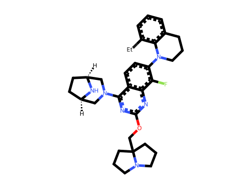 CCc1cccc2c1N(c1ccc3c(N4C[C@H]5CC[C@@H](C4)N5)nc(OCC45CCCN4CCC5)nc3c1F)CCC2